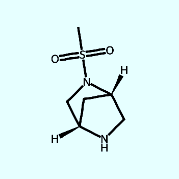 CS(=O)(=O)N1C[C@@H]2C[C@H]1CN2